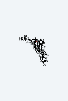 COc1cccc(OC)c1-n1c(NS(=O)(=O)[C@@H](C)[C@H](OC)c2ncc(C)cn2)nnc1-c1cccc(OCC(C)(C)O)n1